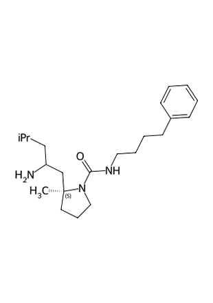 CC(C)CC(N)C[C@]1(C)CCCN1C(=O)NCCCCc1ccccc1